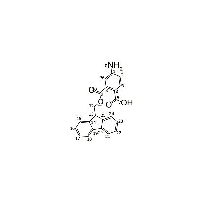 Nc1ccc(C(=O)O)c(C(=O)OCC2c3ccccc3-c3ccccc32)c1